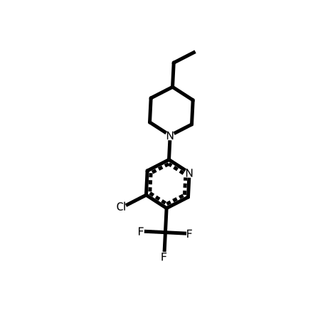 CCC1CCN(c2cc(Cl)c(C(F)(F)F)cn2)CC1